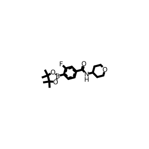 CC1(C)OB(c2ccc(C(=O)NC3CCOCC3)cc2F)OC1(C)C